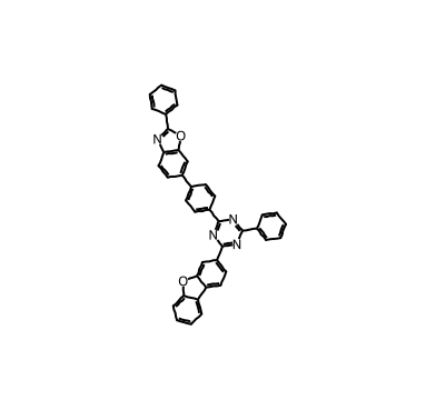 c1ccc(-c2nc(-c3ccc(-c4ccc5nc(-c6ccccc6)oc5c4)cc3)nc(-c3ccc4c(c3)oc3ccccc34)n2)cc1